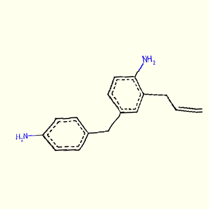 C=CCc1cc(Cc2ccc(N)cc2)ccc1N